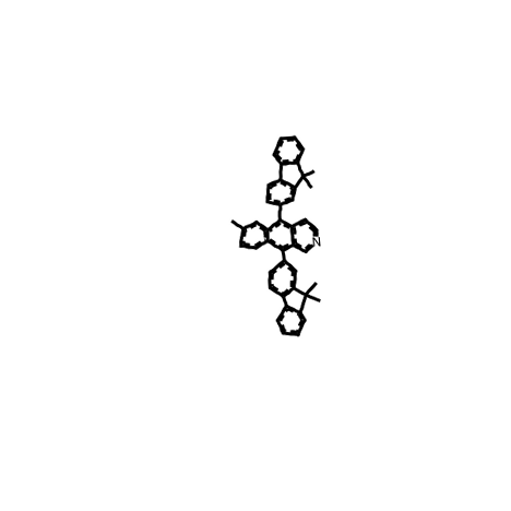 Cc1ccc2c(-c3ccc4c(c3)C(C)(C)c3ccccc3-4)c3cnccc3c(-c3ccc4c(c3)C(C)(C)c3ccccc3-4)c2c1